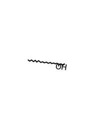 C=CCC(O)CCCCCCCCCCCCCCCCC